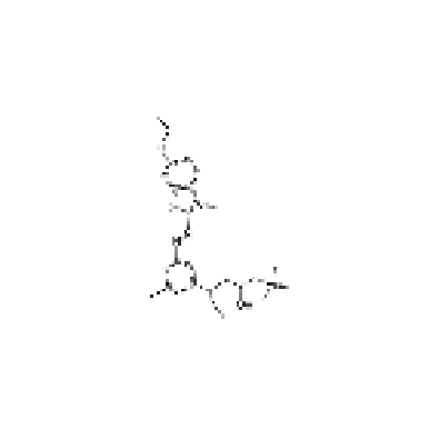 CCOc1ccc2c(c1)sc(N=Nc1cc(C)cc(N(CC)CC(O)C[N+](C)(C)C)c1)[n+]2C